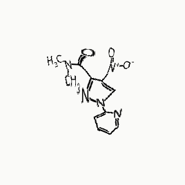 CN(C)C(=O)c1nn(-c2ccccn2)cc1[N+](=O)[O-]